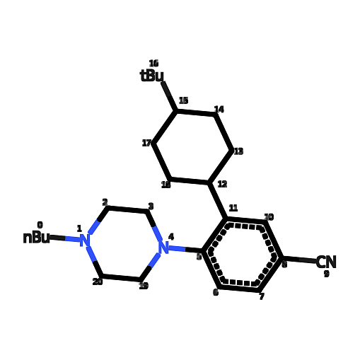 CCCCN1CCN(c2ccc(C#N)cc2C2CCC(C(C)(C)C)CC2)CC1